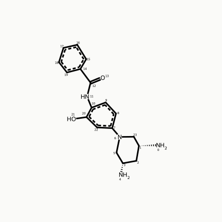 N[C@@H]1C[C@H](N)CN(c2ccc(NC(=O)c3ccccc3)c(O)c2)C1